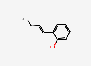 O=CCC=Cc1ccccc1O